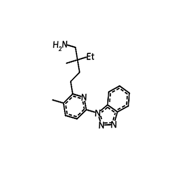 CCC(C)(CN)CCc1nc(-n2nnc3ccccc32)ccc1C